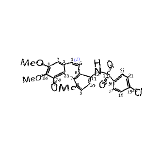 COc1cc(/C=C\c2ccccc2NS(=O)(=O)c2ccc(Cl)cc2)cc(OC)c1OC